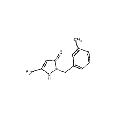 Cc1cccc(Cn2[nH]c(N)cc2=O)c1